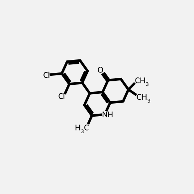 CC1=CC(c2cccc(Cl)c2Cl)C2=C(CC(C)(C)CC2=O)N1